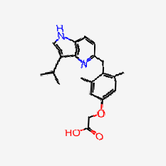 Cc1cc(OCC(=O)O)cc(C)c1Cc1ccc2[nH]cc(C(C)C)c2n1